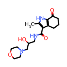 Cc1[nH]c2c(c1C(=O)NCC(O)CN1CCOCC1)CCCC2=O